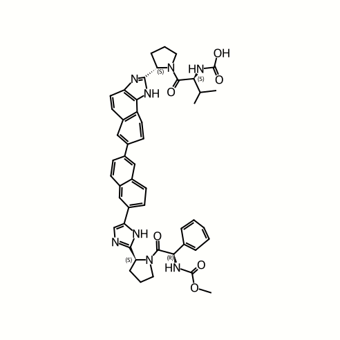 COC(=O)N[C@@H](C(=O)N1CCC[C@H]1c1ncc(-c2ccc3cc(-c4ccc5c(ccc6nc([C@@H]7CCCN7C(=O)[C@@H](NC(=O)O)C(C)C)[nH]c65)c4)ccc3c2)[nH]1)c1ccccc1